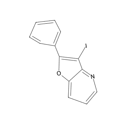 Ic1c(-c2ccccc2)oc2cccnc12